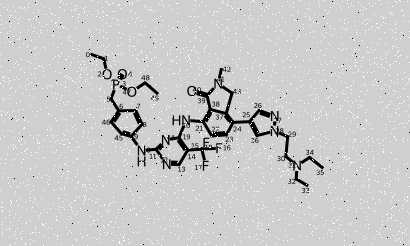 CCOP(=O)(Cc1ccc(Nc2ncc(C(F)(F)F)c(Nc3ccc(-c4cnn(CCN(CC)CC)c4)c4c3C(=O)N(C)C4)n2)cc1)OCC